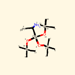 CCCC(N)[Si](O[Si](C)(C)C)(O[Si](C)(C)C)O[Si](C)(C)C